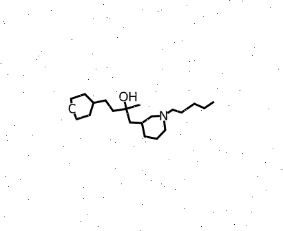 CCCCCN1CCCC(CC(C)(O)CCC2CCCCC2)C1